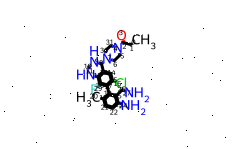 CCC(=O)N1CCN(C2NCNc3c2cc(Cl)c(-c2c(C)ccc(N)c2CN)c3F)CC1